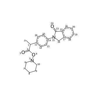 CC(C(=O)ON1CCCCC1)c1ccc(N2Cc3ccccc3C2=O)cc1